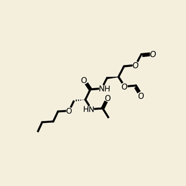 CCCCOC[C@@H](NC(C)=O)C(=O)NC[C@@H](COC=O)OC=O